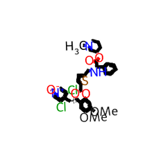 COc1ccc([C@H](Cc2c(Cl)c[n+]([O-])cc2Cl)OC(=O)c2ccc(CNC(C(=O)OC3CCCN(C)C3)c3ccccc3)s2)cc1OC